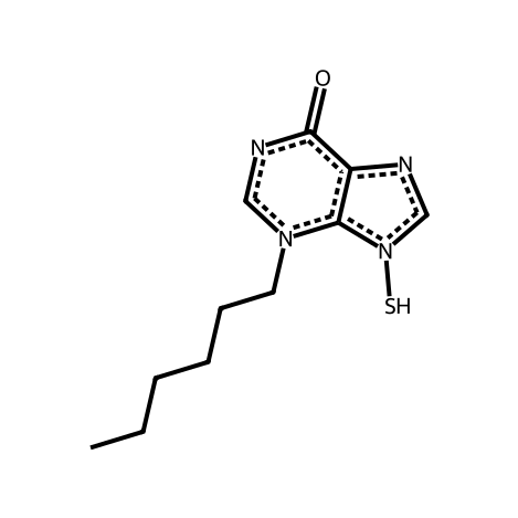 CCCCCCn1cnc(=O)c2ncn(S)c21